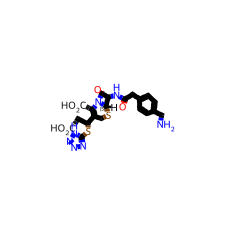 NCc1ccc(CC(=O)NC2C(=O)N3C(C(=O)O)=C(C(CC(=O)O)Sc4nnn[nH]4)CS[C@@H]23)cc1